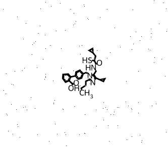 CCCCc1nc(C2CC2)c(CNC(=O)C(S)CC2CC2)n1Cc1ccc(-c2ccccc2C(=O)O)cc1